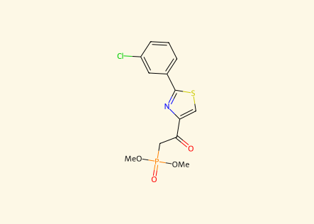 COP(=O)(CC(=O)c1csc(-c2cccc(Cl)c2)n1)OC